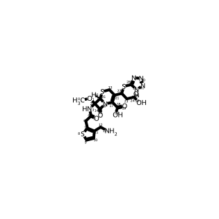 COC1(NC(=O)Cc2sccc2CN)C(=O)N2C(C(=O)O)=C(C(CC(=O)O)Sc3nnn[nH]3)CS[C@H]21